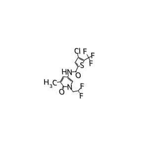 Cc1cc(NC(=O)c2cc(Cl)c(C(F)(F)F)s2)cn(CC(F)F)c1=O